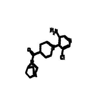 Nc1cncc(Cl)c1N1CCC(C(=O)N2CN3CCC2C3)CC1